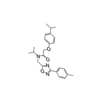 Cc1ccc(-c2noc(CN(C(=O)COc3ccc(C(C)C)cc3)C(C)C)n2)cc1